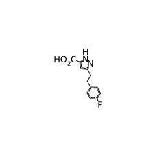 O=C(O)c1cc(CCc2ccc(F)cc2)n[nH]1